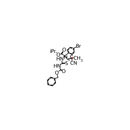 CC(C)OC(=O)C(CC(C)(C)C#N)(NC(=S)NC(=O)OCc1ccccc1)c1ccc(Br)cc1